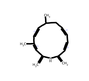 C=C1/C=C\C=C/CC(C)/C=C\C(C)=C/C(=C)N1